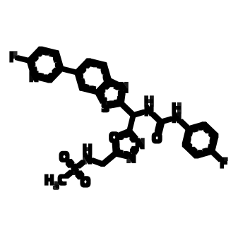 CS(=O)(=O)NCc1nnc(C(NC(=O)Nc2ccc(F)cc2)c2nc3ccc(-c4ccc(F)nc4)cc3s2)o1